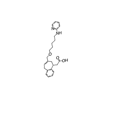 O=C(O)CC1CC(COCCCCCNc2ccccn2)=CCc2ccccc21